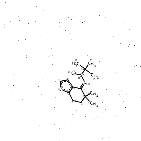 CC1(C)CCc2occc2/C1=N\[S+]([O-])C(C)(C)C